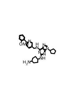 COc1ccccc1-c1ccc(CNc2nc(NC3CCC(N)CC3)nc3c2ncn3C2CCCC2)cn1